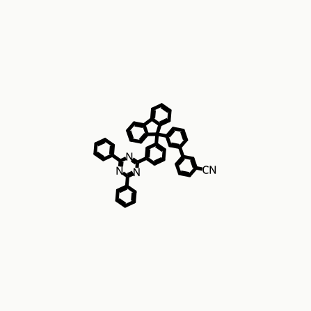 N#Cc1cccc(-c2cccc(C3(c4cccc(-c5nc(-c6ccccc6)nc(-c6ccccc6)n5)c4)c4ccccc4-c4ccccc43)c2)c1